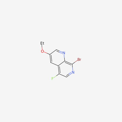 CCOc1cnc2c(Br)ncc(F)c2c1